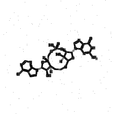 Nc1nc2c(ncn2[C@@H]2OC3OCC[C@H]4[C@@H](O)[C@H](n5ccc6c(Cl)ncnc65)O[C@@H]4COP(=O)(O)O[C@@H]2[C@@H]3O)c(=O)[nH]1